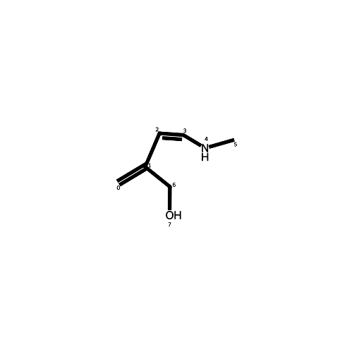 C=C(/C=C\NC)CO